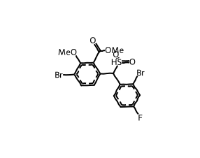 COC(=O)c1c(C(c2ccc(F)cc2Br)[SH](=O)=O)ccc(Br)c1OC